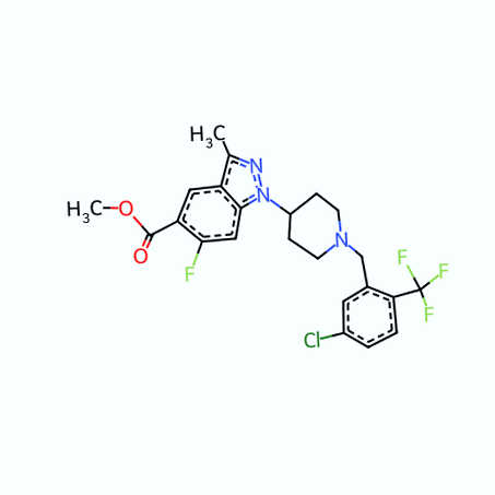 COC(=O)c1cc2c(C)nn(C3CCN(Cc4cc(Cl)ccc4C(F)(F)F)CC3)c2cc1F